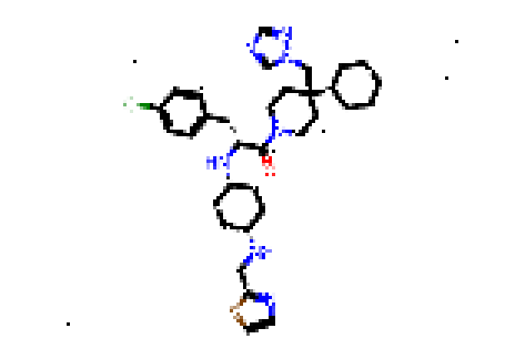 O=C([C@@H](Cc1ccc(Cl)cc1)N[C@H]1CC[C@@H](NCc2nccs2)CC1)N1CCC(Cn2cncn2)(C2CCCCC2)CC1